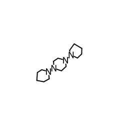 C1CCN(N2CCN(N3CCCCC3)CC2)CC1